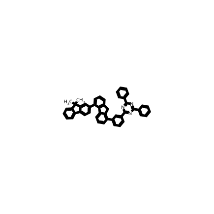 CC1(C)c2ccccc2-c2ccc(-c3cccc4c3-c3cccc(-c5cccc(-c6nc(-c7ccccc7)nc(-c7ccccc7)n6)c5)c3C4)cc21